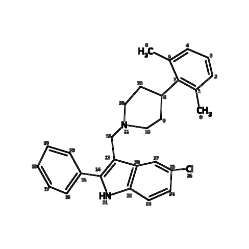 Cc1cccc(C)c1C1CCN(Cc2c(-c3ccccc3)[nH]c3ccc(Cl)cc23)CC1